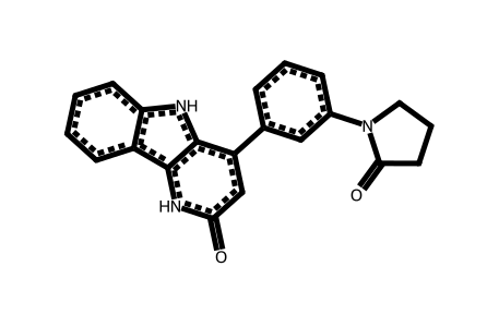 O=C1CCCN1c1cccc(-c2cc(=O)[nH]c3c2[nH]c2ccccc23)c1